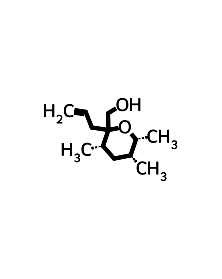 C=CCC1(CO)O[C@H](C)[C@H](C)C[C@@H]1C